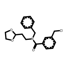 O=C(c1cccc(CCl)c1)N(CCC1OCCO1)Cc1ccccc1